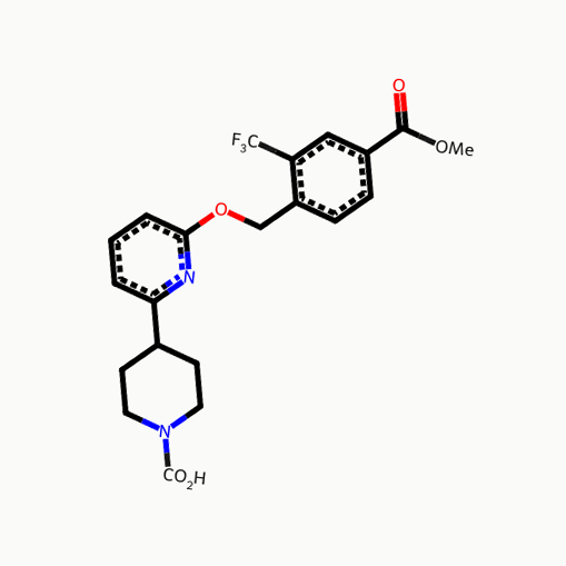 COC(=O)c1ccc(COc2cccc(C3CCN(C(=O)O)CC3)n2)c(C(F)(F)F)c1